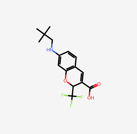 CC(C)(C)CNc1ccc2c(c1)OC(C(F)(F)F)C(C(=O)O)=C2